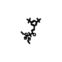 CCOP(=O)(OCC)C(C)(C)C(=O)/C=C/c1cc(C(C)(C)C)cc(C(C)(C)C)c1